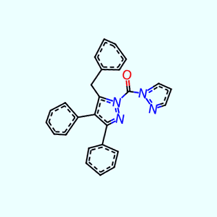 O=C(n1cccn1)n1nc(-c2ccccc2)c(-c2ccccc2)c1Cc1ccccc1